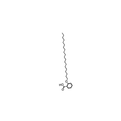 CCCCCCCCCCCCCCCCCCCCOc1ccccc1C(=O)O